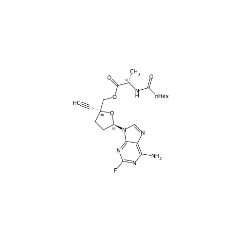 C#C[C@@]1(COC(=O)[C@H](C)NC(=O)CCCCCC)CC[C@H](n2cnc3c(N)nc(F)nc32)O1